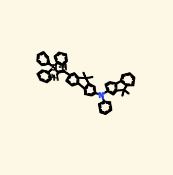 [2H]/C(=C(/[2H])[Si](c1ccccc1)(c1ccccc1)c1ccccc1)c1ccc2c(c1)C(C)(C)c1cc(N(c3ccccc3)c3ccc4c(c3)C(C)(C)c3ccccc3-4)ccc1-2